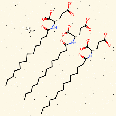 CCCCCCCCCCCCCC(=O)N[C@@H](CCC(=O)[O-])C(=O)[O-].CCCCCCCCCCCCCC(=O)N[C@@H](CCC(=O)[O-])C(=O)[O-].CCCCCCCCCCCCCC(=O)N[C@@H](CCC(=O)[O-])C(=O)[O-].[Al+3].[Al+3]